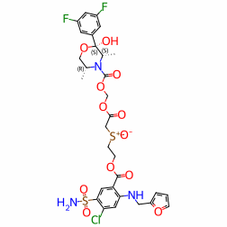 C[C@@H]1CO[C@@](O)(c2cc(F)cc(F)c2)[C@H](C)N1C(=O)OCOC(=O)C[S+]([O-])CCOC(=O)c1cc(S(N)(=O)=O)c(Cl)cc1NCc1ccco1